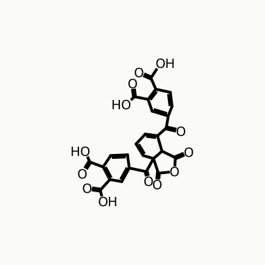 O=C(C1=CC=CC2(C(=O)c3ccc(C(=O)O)c(C(=O)O)c3)C(=O)OC(=O)C12)c1ccc(C(=O)O)c(C(=O)O)c1